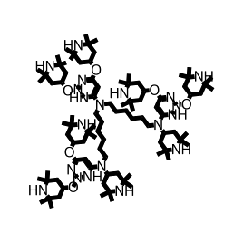 CC1(C)CC(OC2=NN(OC3CC(C)(C)NC(C)(C)C3)NC(N(CCCCCCN(C3=CC(OC4CC(C)(C)NC(C)(C)C4)=NN(OC4CC(C)(C)NC(C)(C)C4)N3)C3CC(C)(C)NC(C)(C)C3)CCCCCCN(C3=CC(OC4CC(C)(C)NC(C)(C)C4)=NN(OC4CC(C)(C)NC(C)(C)C4)N3)C3CC(C)(C)NC(C)(C)C3)=C2)CC(C)(C)N1